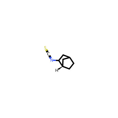 S=C=NC1CC2CC[C@H]1C2